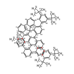 CC(C)(C)c1cc(-c2ccc3c(c2)N(c2c(-c4ccccc4)cccc2-c2ccccc2)c2cc(C(C)(C)C)cc4c2B3c2ccc(-c3cc(C(C)(C)C)cc(C(C)(C)C)c3)cc2C4(c2ccccc2)c2ccccc2)cc(C(C)(C)C)c1